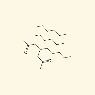 CCCCCC.CCCCCC.CCCCCC(CC(C)=O)CC(C)=O